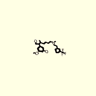 COc1cc(OC)cc(C(C=O)C(C)CCCCN(C)CCc2cccc(C(F)(F)F)c2)c1